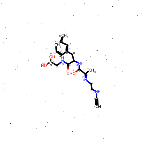 C#CNCC/N=C(\C)C(O)NC(CC(/C=C\C)=C/C=C)C(=O)NCB(O)O